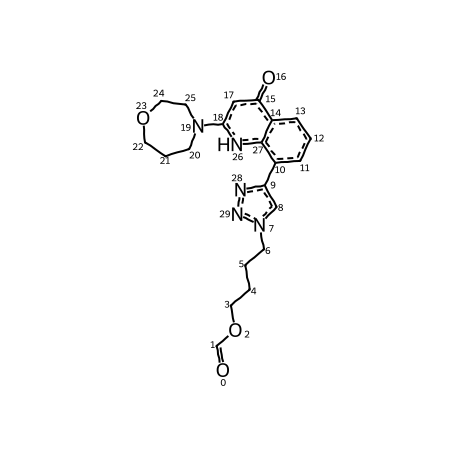 O=COCCCCn1cc(-c2cccc3c(=O)cc(N4CCCOCC4)[nH]c23)nn1